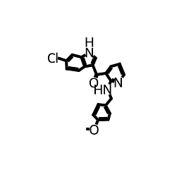 COc1ccc(CNc2ncccc2C(=O)c2c[nH]c3cc(Cl)ccc23)cc1